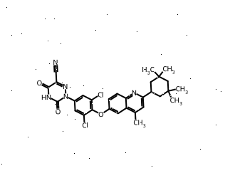 Cc1cc(C2CC(C)(C)CC(C)(C)C2)nc2ccc(Oc3c(Cl)cc(-n4nc(C#N)c(=O)[nH]c4=O)cc3Cl)cc12